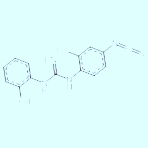 Cc1ccccc1NC(=N)Nc1ccc(N=C=S)cc1C